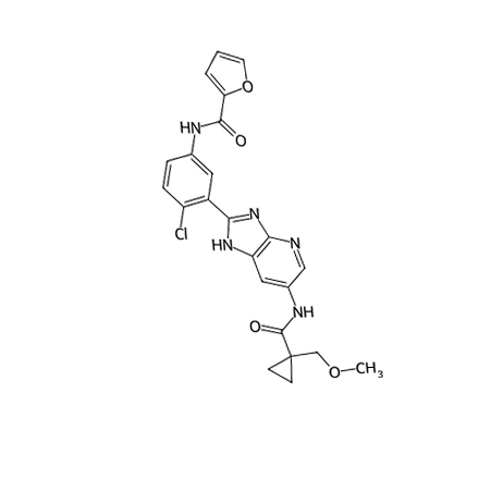 COCC1(C(=O)Nc2cnc3nc(-c4cc(NC(=O)c5ccco5)ccc4Cl)[nH]c3c2)CC1